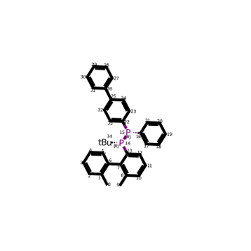 Cc1ccc[c]c1-c1c(C)cccc1[P@@]([P@@](c1ccccc1)c1ccc(-c2ccccc2)cc1)C(C)(C)C